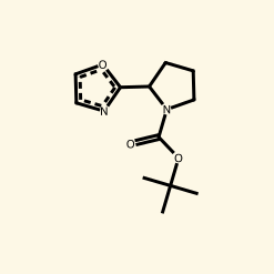 CC(C)(C)OC(=O)N1CCCC1c1ncco1